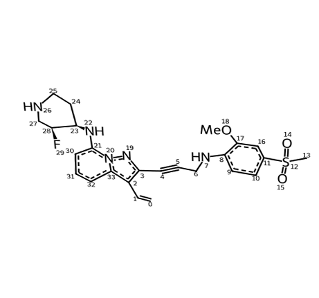 C=Cc1c(C#CCNc2ccc(S(C)(=O)=O)cc2OC)nn2c(N[C@@H]3CCNC[C@@H]3F)cccc12